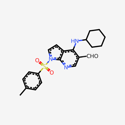 Cc1ccc(S(=O)(=O)n2ccc3c(NC4CCCCC4)c(C=O)cnc32)cc1